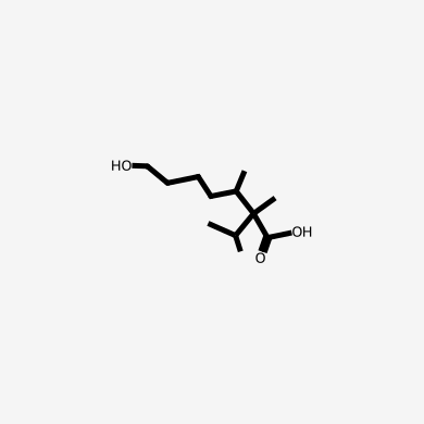 CC(C)C(C)(C(=O)O)C(C)CCCCO